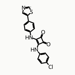 O=c1c(Nc2ccc(Cl)cc2)c(Nc2ccc(-c3cn[c]s3)cc2)c1=O